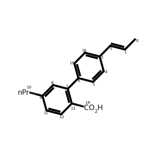 C/C=C/c1ccc(-c2cc(CCC)ccc2C(=O)O)cc1